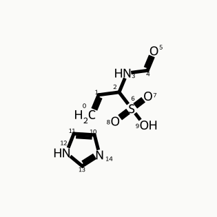 C=CC(NC=O)S(=O)(=O)O.c1c[nH]cn1